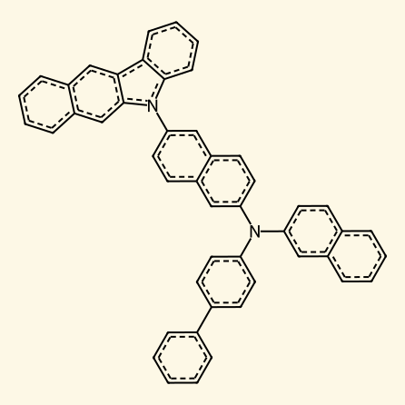 c1ccc(-c2ccc(N(c3ccc4ccccc4c3)c3ccc4cc(-n5c6ccccc6c6cc7ccccc7cc65)ccc4c3)cc2)cc1